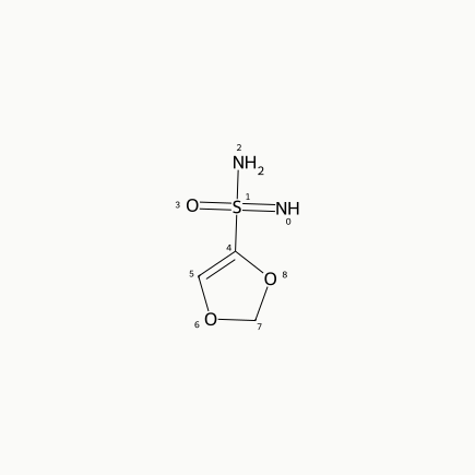 N=S(N)(=O)C1=COCO1